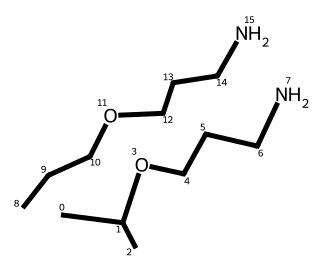 CC(C)OCCCN.CCCOCCCN